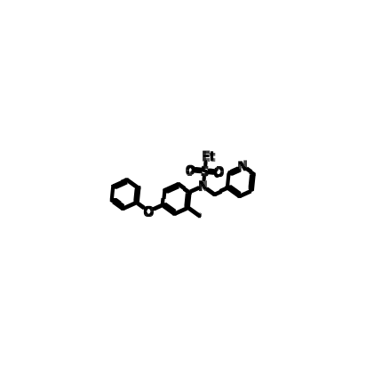 CCS(=O)(=O)N(Cc1cccnc1)c1ccc(Oc2ccccc2)cc1C